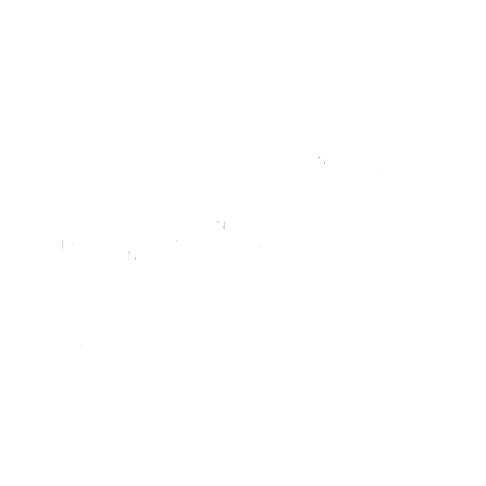 Cc1nc(C(C)(F)F)ccc1S(=O)(=O)N1CC2(CN([C@@H](C)C3COC3)C2)C1